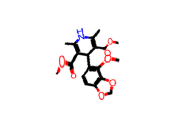 COC(=O)C1=C(C)NC(C)=C(C(=O)OC)C1c1ccc2c(c1OC)OCO2